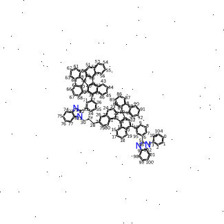 c1ccc(-n2c(-c3cccc(-c4cc5c(c6ccccc46)-c4c(ccc6cc(CCCn7c(-c8cccc(-c9cc%10c(c%11ccccc9%11)-c9c(ccc%11ccccc9%11)C%109c%10ccccc%10-c%10ccccc%109)c8)nc8ccccc87)ccc46)C54c5ccccc5-c5ccccc54)c3)nc3ccccc32)cc1